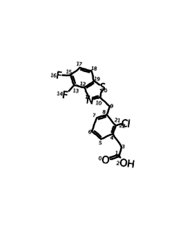 O=C(O)Cc1cccc(Cc2nc3c(F)c(F)ccc3s2)c1Cl